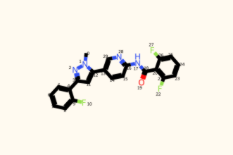 Cn1nc(-c2ccccc2F)cc1-c1ccc(NC(=O)c2c(F)cccc2F)nc1